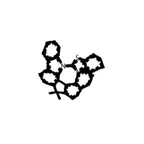 CC1(C)c2ccc3ccccc3c2-c2c1ccc1c3ccccc3n(-c3nc4ccccc4s3)c21